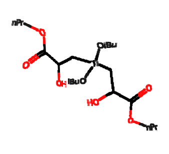 CCCOC(=O)C(O)[CH2][Ti]([CH2]C(O)C(=O)OCCC)([O]CC(C)C)[O]CC(C)C